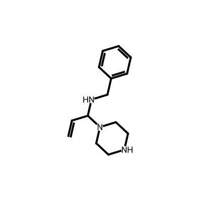 C=CC(NCc1ccccc1)N1CCNCC1